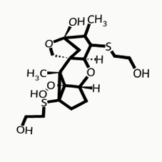 CC1C(SCCO)[C@H]2O[C@@H]3CCC4(SCCO)[C@](C)([C@]25CO[C@@]1(O)C5)[C@@]34OO